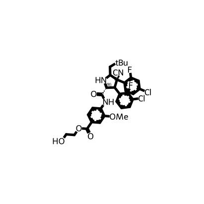 COc1cc(C(=O)OCCO)ccc1NC(=O)[C@@H]1NC(CC(C)(C)C)[C@](C#N)(c2ccc(Cl)cc2F)C1c1cccc(Cl)c1F